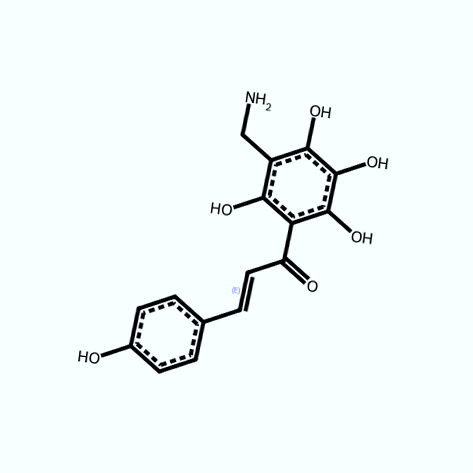 NCc1c(O)c(O)c(O)c(C(=O)/C=C/c2ccc(O)cc2)c1O